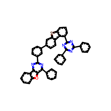 c1ccc(-c2nc(-c3ccccc3)nc(-c3cccc4sc5cc(-c6cccc(-c7nc(-c8ccccc8)c8oc9ccccc9c8n7)c6)ccc5c34)n2)cc1